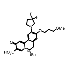 COCCCOc1cc2c(cc1N1CCC(F)(F)C1)-c1cc(=O)c(C(=O)O)cn1[C@H](C(C)(C)C)C2